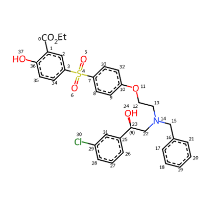 CCOC(=O)c1cc(S(=O)(=O)c2ccc(OCCN(Cc3ccccc3)C[C@H](O)c3cccc(Cl)c3)cc2)ccc1O